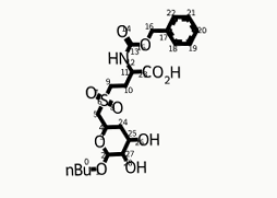 CCCCOC1OC(CS(=O)(=O)CCC(NC(=O)OCc2ccccc2)C(=O)O)CC(O)C1O